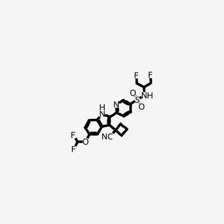 N#CC1(c2c(-c3ccc(S(=O)(=O)NC(CF)CF)cn3)[nH]c3ccc(OC(F)F)cc23)CCC1